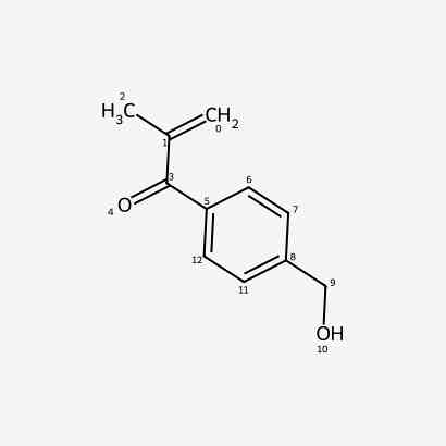 C=C(C)C(=O)c1ccc(CO)cc1